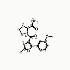 COc1cccc(-c2sc(C)nc2C(=O)N2CCSC2C(N)=O)c1